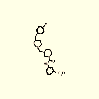 CCOC(=O)c1cccc(NC(=O)N2CCCC(CN3CCC(Cc4ccc(F)cc4)CC3)C2)c1